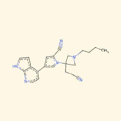 CCCCN1CC(CC#N)(n2cc(-c3ccnc4[nH]ccc34)cc2C#N)C1